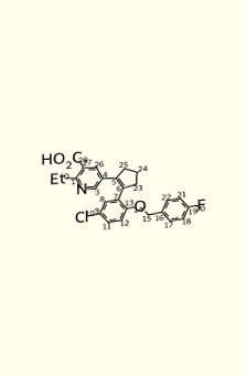 CCc1ncc(C2=C(c3cc(Cl)ccc3OCc3ccc(F)cc3)CCC2)cc1C(=O)O